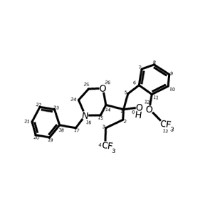 OC(CCC(F)(F)F)(Cc1ccccc1OC(F)(F)F)C1CN(Cc2ccccc2)CCO1